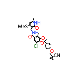 CSc1cc(C)[nH]c(=O)c1CNC(=O)c1cc(Cl)c2c(c1C)OC(C)(C1CCC(OCC3(C#N)CC3)CC1)O2